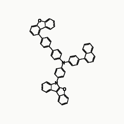 c1ccc2c(-c3ccc(N(c4ccc(-c5ccc(-c6cccc7oc8ccccc8c67)cc5)cc4)c4ccc(-n5c6ccccc6c6c7ccccc7oc65)cc4)cc3)cccc2c1